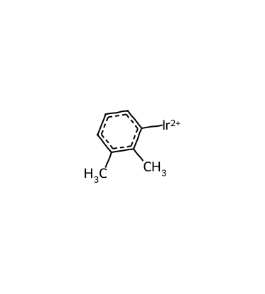 Cc1ccc[c]([Ir+2])c1C